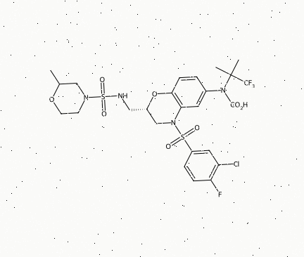 CC1CN(S(=O)(=O)NC[C@H]2CN(S(=O)(=O)c3ccc(F)c(Cl)c3)c3cc(N(C(=O)O)C(C)(C)C(F)(F)F)ccc3O2)CCO1